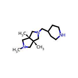 CN1C[C@@]2(C)CN(CC3CCNCC3)C[C@@]2(C)C1